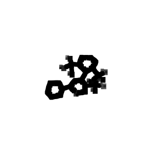 [2H]C([2H])([2H])c1cnc(-c2ccccc2)cc1-c1c(C([2H])([2H])[2H])cccc1C([2H])([2H])[2H]